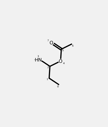 CCC([NH])OC(C)=O